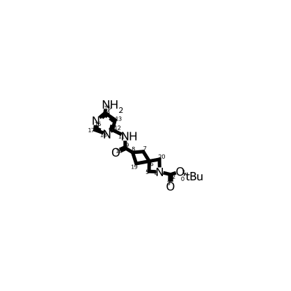 CC(C)(C)OC(=O)N1CC2(CC(C(=O)Nc3cc(N)ncn3)C2)C1